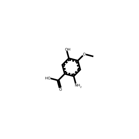 COc1cc(N)c(C(=O)O)cc1O